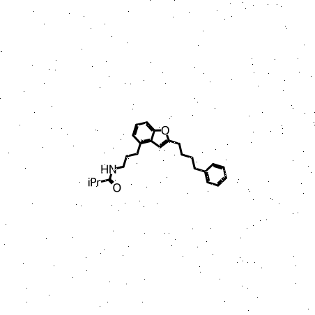 CC(C)C(=O)NCCCc1cccc2oc(CCCCc3ccccc3)cc12